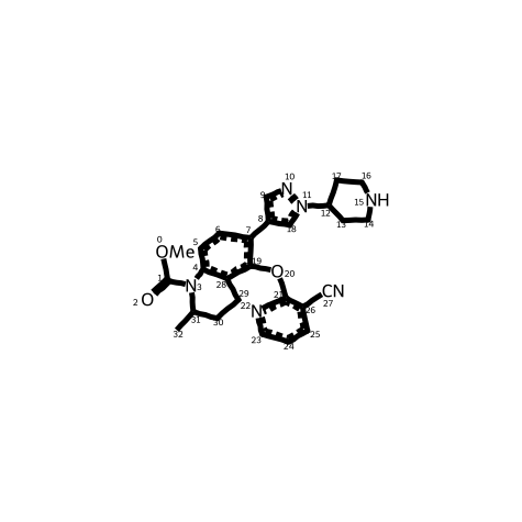 COC(=O)N1c2ccc(-c3cnn(C4CCNCC4)c3)c(Oc3ncccc3C#N)c2CCC1C